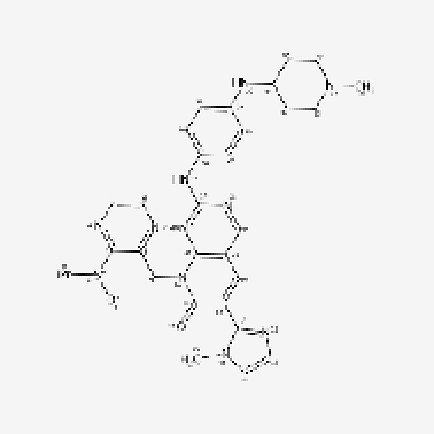 CC(C)[S+]([O-])c1nccnc1Cn1c(=O)c(-c2nccn2C)cc2cnc(Nc3ccc(NC4CCN(C)CC4)cc3)nc21